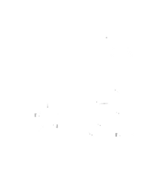 CN(Cc1cccc(Br)c1)c1nc(NC2CC2)n2ncc(/C=C3\NC(=O)NC3=O)c2n1